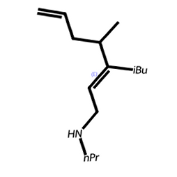 C=CCC(C)/C(=C/CNCCC)C(C)CC